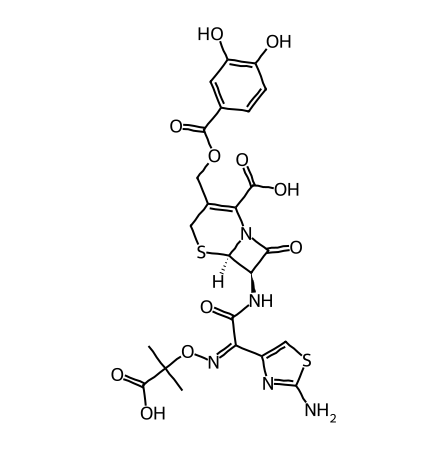 CC(C)(O/N=C(\C(=O)N[C@@H]1C(=O)N2C(C(=O)O)=C(COC(=O)c3ccc(O)c(O)c3)CS[C@H]12)c1csc(N)n1)C(=O)O